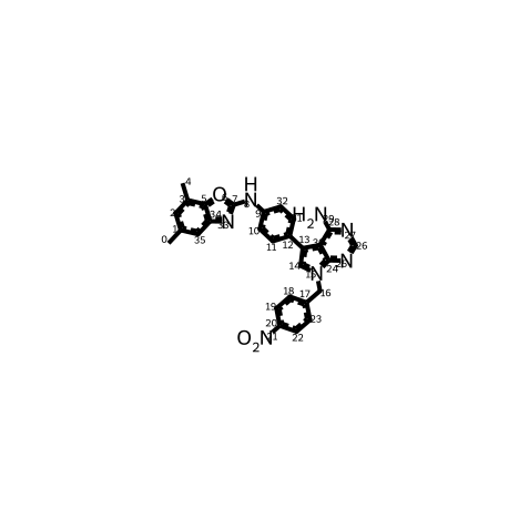 Cc1cc(C)c2oc(Nc3ccc(-c4cn(Cc5ccc([N+](=O)[O-])cc5)c5ncnc(N)c45)cc3)nc2c1